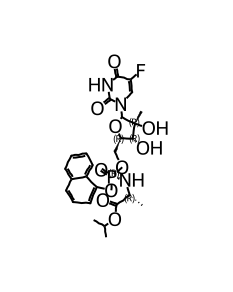 CC(C)OC(=O)[C@@H](C)N[P@@](=O)(OC[C@H]1OC(n2cc(F)c(=O)[nH]c2=O)[C@](C)(O)[C@@H]1O)Oc1cccc2ccccc12